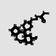 CCC(=O)CCCN1CCC(=C2c3ccccc3COc3ccc(F)cc32)CC1